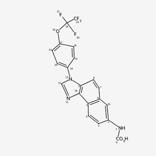 O=C(O)Nc1ccc2c(ccc3c2ncn3-c2ccc(OC(F)(F)C(F)(F)F)cc2)c1